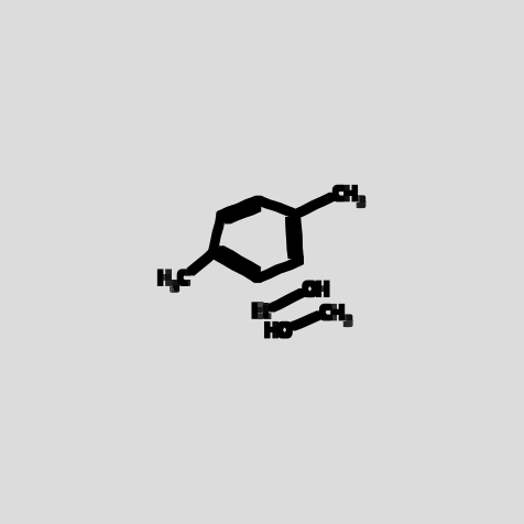 CCO.CO.Cc1ccc(C)cc1